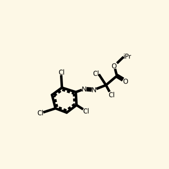 CC(C)OC(=O)C(Cl)(Cl)/N=N/c1c(Cl)cc(Cl)cc1Cl